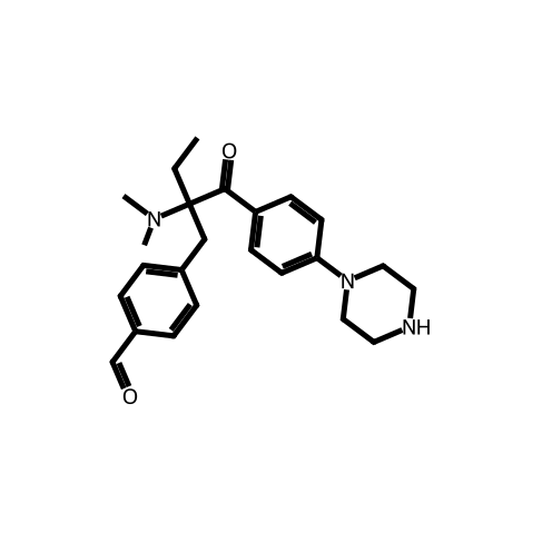 CCC(Cc1ccc(C=O)cc1)(C(=O)c1ccc(N2CCNCC2)cc1)N(C)C